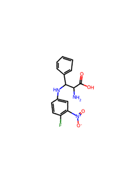 NC(C(=O)O)C(Nc1ccc(F)c([N+](=O)[O-])c1)c1ccccc1